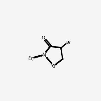 CCN1OCC(Br)C1=O